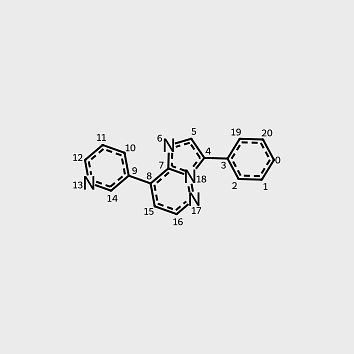 c1ccc(-c2cnc3c(-c4cccnc4)ccnn23)cc1